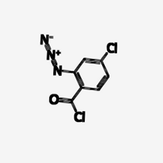 [N-]=[N+]=Nc1cc(Cl)ccc1C(=O)Cl